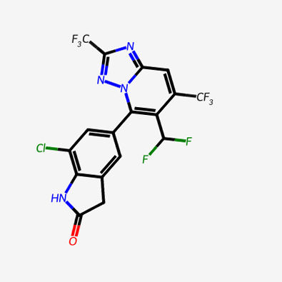 O=C1Cc2cc(-c3c(C(F)F)c(C(F)(F)F)cc4nc(C(F)(F)F)nn34)cc(Cl)c2N1